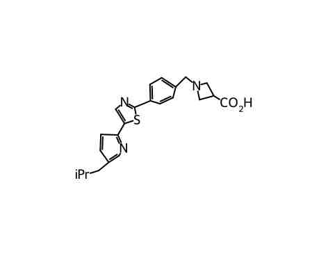 CC(C)Cc1ccc(-c2cnc(-c3ccc(CN4CC(C(=O)O)C4)cc3)s2)nc1